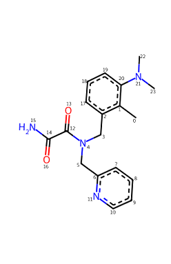 Cc1c(CN(Cc2ccccn2)C(=O)C(N)=O)cccc1N(C)C